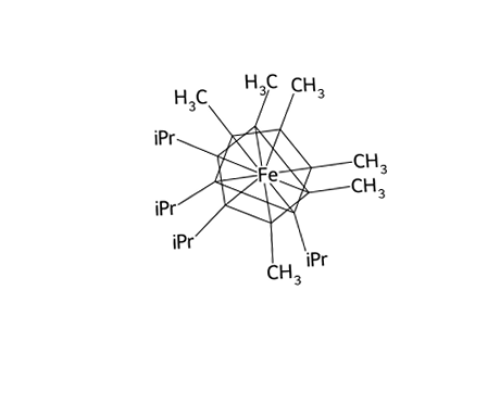 CC(C)[C]12[C]3(C)[C]4(C)[C]5(C)[C]1(C(C)C)[Fe]43521678[C]2(C)[C]1(C)[C]6(C(C)C)[C]7(C(C)C)[C]28C